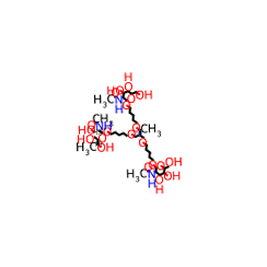 CC(=O)NC1C(OCCCCCOC/C(COCCCCCOC(OC(CO)[C@@H](C)O)[C@H](CO)NC(C)=O)=C(\C)OCCCCCOC2OC(CO)C(O)C(O)C2NC(C)=O)OC(CO)C(O)C1O